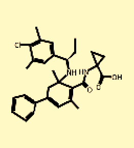 CC[C@@H](NC1(C)CC(c2ccccc2)=CC(C)=C1C(=O)NC1(C(=O)O)CC1)c1cc(C)c(Cl)c(C)c1